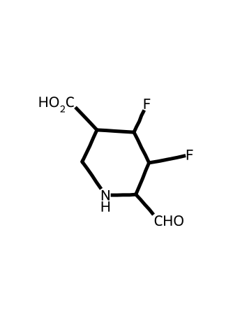 O=CC1NCC(C(=O)O)C(F)C1F